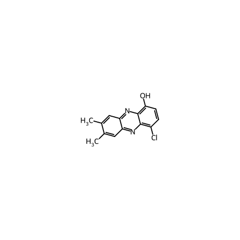 Cc1cc2nc3c(O)ccc(Cl)c3nc2cc1C